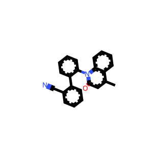 Cc1cc(=O)n(-c2ccccc2-c2ccccc2C#N)c2ccccc12